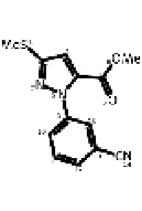 COC(=O)c1cc(SC)nn1-c1cccc(C#N)c1